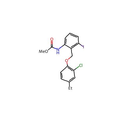 CCc1ccc(OCc2c(I)cccc2NC(=O)OC)c(Cl)c1